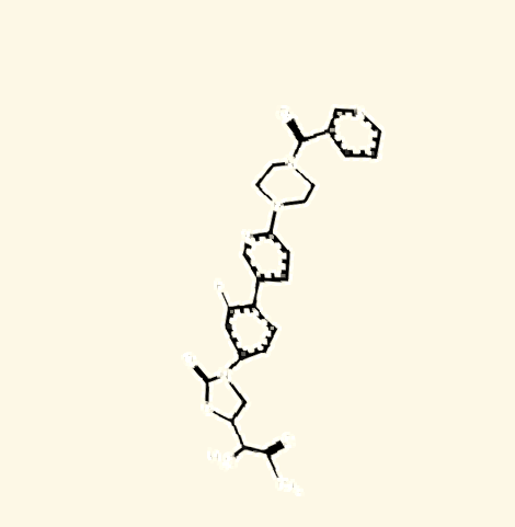 CC(C(N)=O)C1CN(c2ccc(-c3ccc(N4CCN(C(=O)c5cccnc5)CC4)nc3)c(F)c2)C(=O)O1